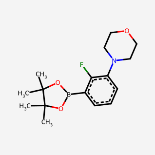 CC1(C)OB(c2cccc(N3CCOCC3)c2F)OC1(C)C